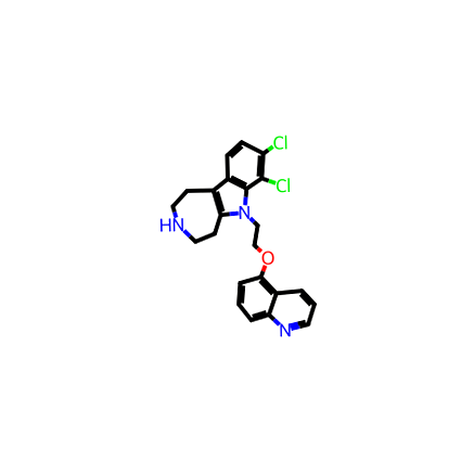 Clc1ccc2c3c(n(CCOc4cccc5ncccc45)c2c1Cl)CCNCC3